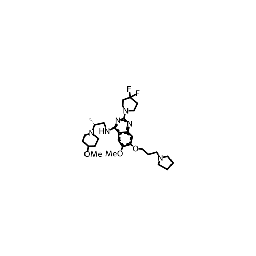 COc1cc2c(NC[C@@H](C)N3CCC(OC)CC3)nc(N3CCC(F)(F)CC3)nc2cc1OCCCN1CCCC1